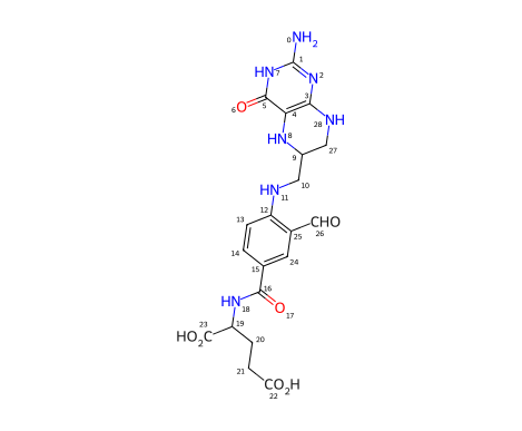 Nc1nc2c(c(=O)[nH]1)NC(CNc1ccc(C(=O)NC(CCC(=O)O)C(=O)O)cc1C=O)CN2